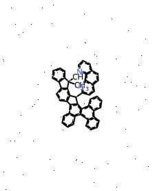 CC1(C)c2ccccc2-c2ccc3c(c21)C(c1ccc2ccc4cccnc4c2n1)c1c-3c2ccccc2c2c3ccccc3c3ccccc3c12